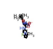 Cc1cccc(F)c1N1CCC(NCc2cn(COCC[Si](C)(C)C)nc2[N+](=O)[O-])CC1